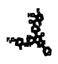 CCc1c(N2CCN(C(=O)c3c(F)ccc(F)c3O)CC2)c(=O)n2nc(C3=CCOCC3)nc2n1CC(=O)Nc1ccc(C(F)(F)F)cc1C